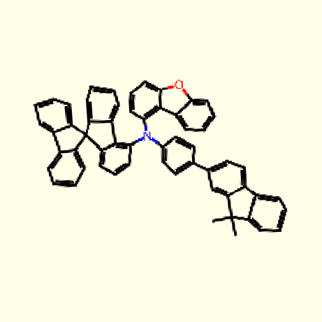 CC1(C)c2ccccc2-c2ccc(-c3ccc(N(c4cccc5c4-c4ccccc4C54c5ccccc5-c5ccccc54)c4cccc5oc6ccccc6c45)cc3)cc21